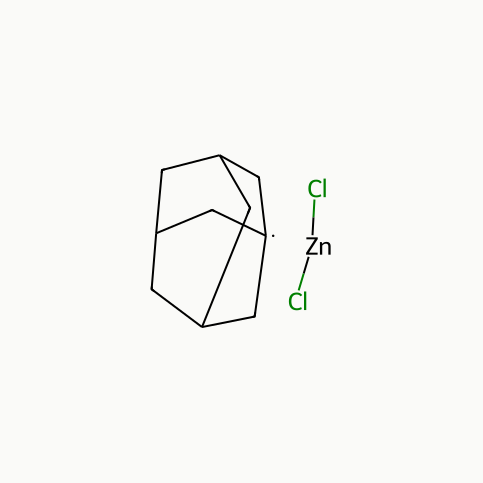 C1[C]2CC3CC1CC(C2)C3.[Cl][Zn][Cl]